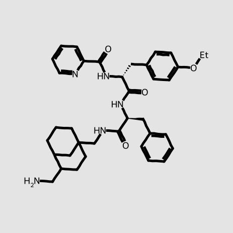 CCOc1ccc(C[C@@H](NC(=O)c2ccccn2)C(=O)N[C@@H](Cc2ccccc2)C(=O)NCC23CCCC(C2)C(CN)CC3)cc1